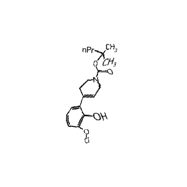 CCCC(C)(C)OC(=O)N1CC=C(c2cccc(OCl)c2O)CC1